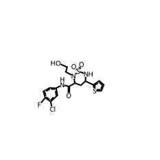 O=C(Nc1ccc(F)c(Cl)c1)C1CC(c2cccs2)NS(=O)(=O)N1CCO